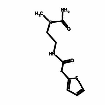 CN(CCNC(=O)[CH]c1cccs1)C(N)=O